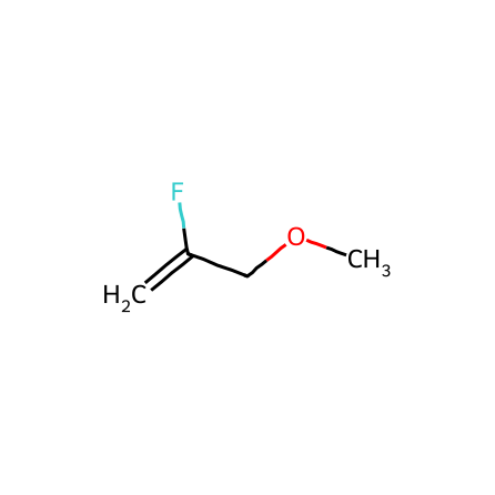 C=C(F)COC